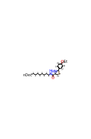 CCCCCCCCCCCCCCCCCCNC(=O)[C@@H]1CSC(c2ccc(OCC)cc2)N1